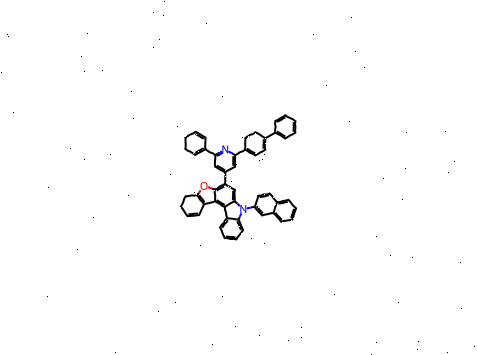 C1=CC(c2cc(-c3cc4c(c5ccccc5n4-c4ccc5ccccc5c4)c4c5c(oc34)CCC=C5)cc(C3=CC=C(c4ccccc4)CC3)n2)=CCC1